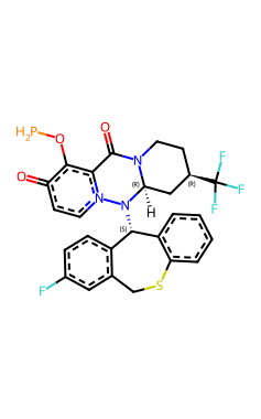 O=C1c2c(OP)c(=O)ccn2N([C@H]2c3ccc(F)cc3CSc3ccccc32)[C@@H]2C[C@H](C(F)(F)F)CCN12